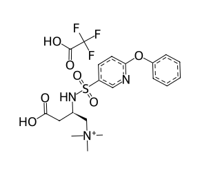 C[N+](C)(C)C[C@@H](CC(=O)O)NS(=O)(=O)c1ccc(Oc2ccccc2)nc1.O=C(O)C(F)(F)F